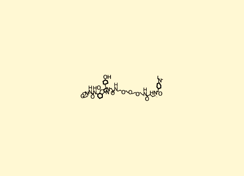 CCN(C)c1ccc(C(=O)N[C@H](C)CCC(=O)NCCOCCOCCOCCNC(=O)Cn2nc3c(c2-c2ccc(O)cc2)C(=O)c2c(NC(=O)NN4CCOCC4)cccc2-3)cc1